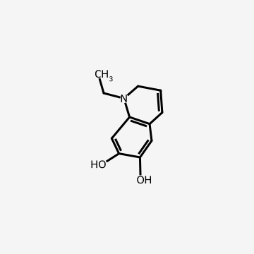 CCN1CC=Cc2cc(O)c(O)cc21